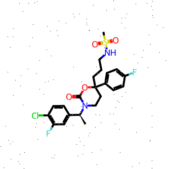 C[C@@H](c1ccc(Cl)c(F)c1)N1CCC(CCCNS(C)(=O)=O)(c2ccc(F)cc2)OC1=O